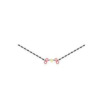 C#CC#CC#CC#CC#CC#CC#CC#CC#CC(=O)OCCSCCOC(=O)C#CC#CC#CC#CC#CC#CC#CC#CC#C